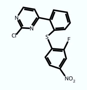 O=[N+]([O-])c1ccc(Sc2ccccc2-c2ccnc(Cl)n2)c(F)c1